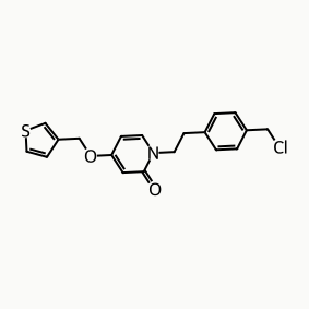 O=c1cc(OCc2ccsc2)ccn1CCc1ccc(CCl)cc1